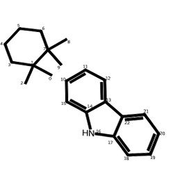 CC1(C)CCCCC1(C)C.c1ccc2c(c1)[nH]c1ccccc12